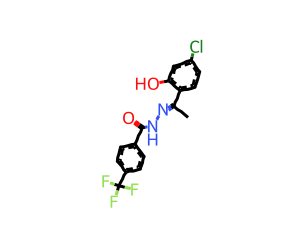 C/C(=N\NC(=O)c1ccc(C(F)(F)F)cc1)c1ccc(Cl)cc1O